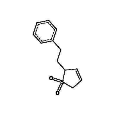 O=S1(=O)CC=CC1CCc1ccccc1